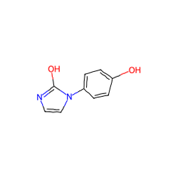 Oc1ccc(-n2ccnc2O)cc1